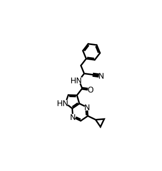 N#CC(Cc1ccccc1)NC(=O)c1c[nH]c2ncc(C3CC3)nc12